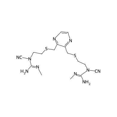 CN=C(N)N(C#N)CCSCc1nccnc1CSCCN(C#N)C(N)=NC